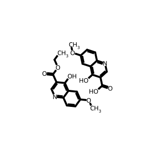 CCOC(=O)c1cnc2ccc(OC)cc2c1O.COc1ccc2ncc(C(=O)O)c(O)c2c1